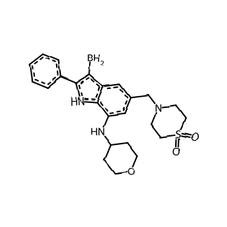 Bc1c(-c2ccccc2)[nH]c2c(NC3CCOCC3)cc(CN3CCS(=O)(=O)CC3)cc12